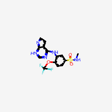 CNS(=O)(=O)c1ccc(OC(F)(F)F)c(Nc2nc[nH]c3nccc2-3)c1